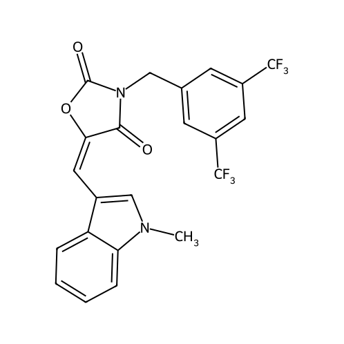 Cn1cc(C=C2OC(=O)N(Cc3cc(C(F)(F)F)cc(C(F)(F)F)c3)C2=O)c2ccccc21